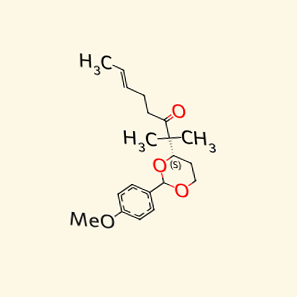 CC=CCCC(=O)C(C)(C)[C@@H]1CCOC(c2ccc(OC)cc2)O1